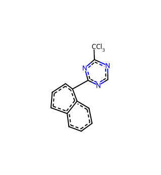 ClC(Cl)(Cl)c1ncnc(-c2cccc3ccccc23)n1